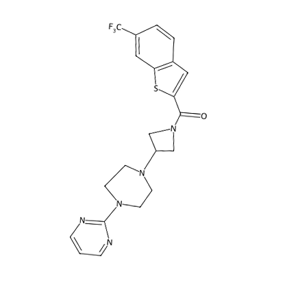 O=C(c1cc2ccc(C(F)(F)F)cc2s1)N1CC(N2CCN(c3ncccn3)CC2)C1